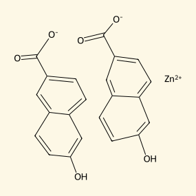 O=C([O-])c1ccc2cc(O)ccc2c1.O=C([O-])c1ccc2cc(O)ccc2c1.[Zn+2]